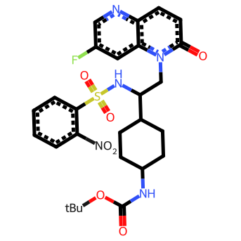 CC(C)(C)OC(=O)NC1CCC(C(Cn2c(=O)ccc3ncc(F)cc32)NS(=O)(=O)c2ccccc2[N+](=O)[O-])CC1